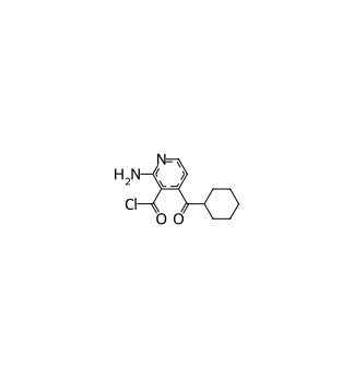 Nc1nccc(C(=O)C2CCCCC2)c1C(=O)Cl